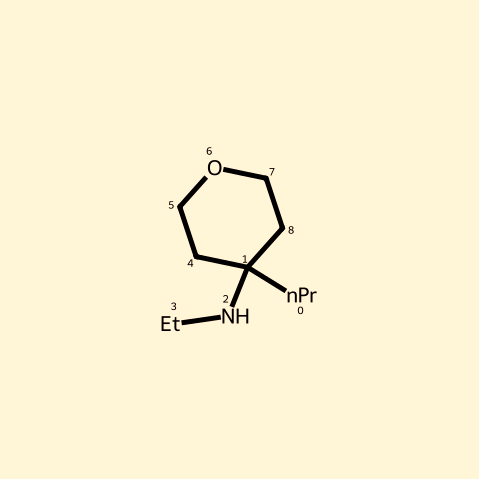 CCCC1(NCC)CCOCC1